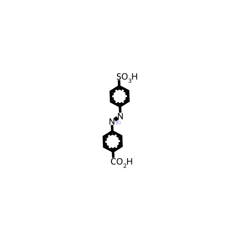 O=C(O)c1ccc(/N=N/c2ccc(S(=O)(=O)O)cc2)cc1